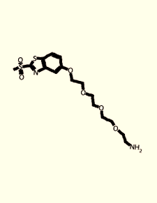 CS(=O)(=O)c1nc2cc(OCCOCCOCCOCCN)ccc2s1